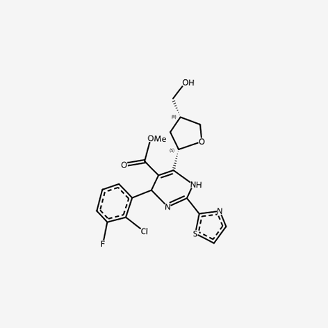 COC(=O)C1=C([C@@H]2C[C@H](CO)CO2)NC(c2nccs2)=NC1c1cccc(F)c1Cl